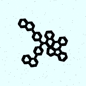 c1ccc(-n2c3ccccc3c3ccccc32)c(-c2ccc(N(c3ccc(-c4ccc5ccccc5c4)cc3)c3ccc(-c4cccc5ccccc45)cc3)c3ccccc23)c1